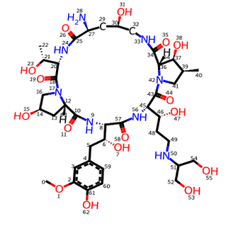 COc1cc(C[C@@H](O)[C@@H]2NC(=O)[C@@H]3C[C@@H](O)CN3C(=O)[C@H]([C@@H](C)O)NC(=O)[C@@H](N)C[C@@H](O)CNC(=O)[C@@H]3[C@@H](O)[C@@H](C)CN3C(=O)[C@H]([C@H](O)CCNC(CO)CO)NC2=O)ccc1O